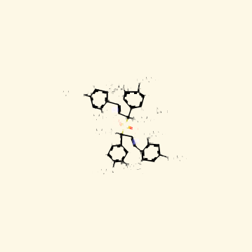 CNC(/C=C/c1c(OC)cc(OC)cc1OC)(c1ccc(OC)c(C(=O)O)c1)S(=O)(=O)C(/C=C/c1c(OC)cc(OC)cc1OC)(NC)c1ccc(OC)c(C(=O)O)c1.[Na]